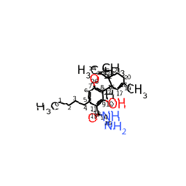 CCCCCc1cc2c(c(O)c1C(=O)NN)[C@@H]1C=C(C)CC[C@H]1C(C)(C)O2